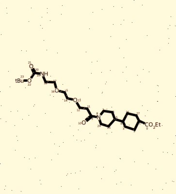 CCOC(=O)C1CCC(C2CCN(C(=O)CCOCCOCCNC(=O)OC(C)(C)C)CC2)CC1